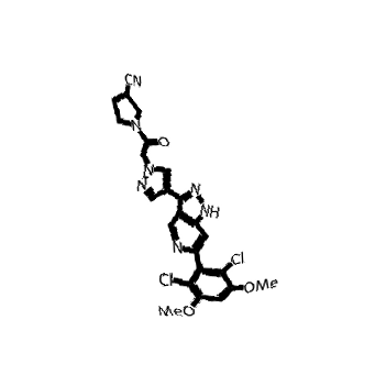 COc1cc(OC)c(Cl)c(-c2cc3[nH]nc(-c4cnn(CC(=O)N5CCC(C#N)C5)c4)c3cn2)c1Cl